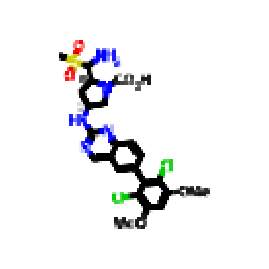 COc1cc(OC)c(Cl)c(-c2ccc3nc(N[C@H]4C[C@@H](C(N)S(C)(=O)=O)N(C(=O)O)C4)ncc3c2)c1Cl